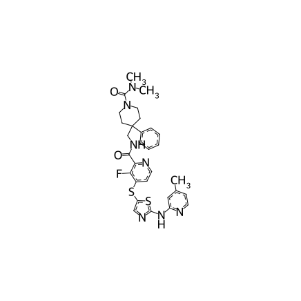 Cc1ccnc(Nc2ncc(Sc3ccnc(C(=O)NCC4(c5ccccc5)CCN(C(=O)N(C)C)CC4)c3F)s2)c1